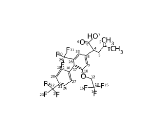 CC(C)CC(C(=O)O)c1cc(OCC(F)(F)F)c(-c2ccc(C(F)(F)F)cc2)c(C(F)(F)F)c1